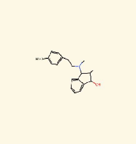 COc1ccc(CCN(C)C2c3ccccc3C(O)C2C)cc1